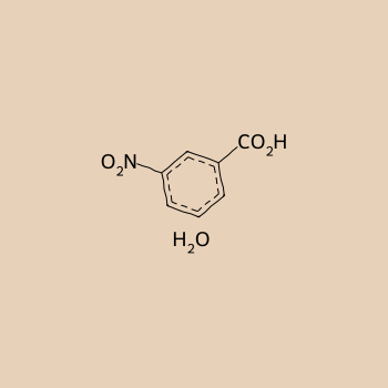 O.O=C(O)c1cccc([N+](=O)[O-])c1